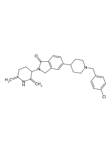 C=C1CCC(N2Cc3cc(C4CCN(Cc5ccc(Cl)cc5)CC4)ccc3C2=O)C(=C)N1